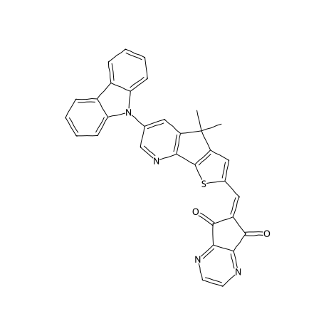 CC1(C)c2cc(-n3c4ccccc4c4ccccc43)cnc2-c2sc(C=C3C(=O)c4nccnc4C3=O)cc21